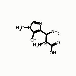 Cc1c(C(N)[C@H](N)C(=O)O)ncn1C